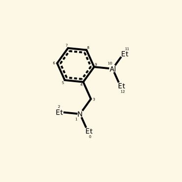 CCN(CC)Cc1cccc[c]1[Al]([CH2]C)[CH2]C